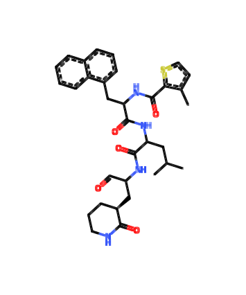 Cc1ccsc1C(=O)NC(Cc1cccc2ccccc12)C(=O)NC(CC(C)C)C(=O)NC(C=O)C[C@@H]1CCCNC1=O